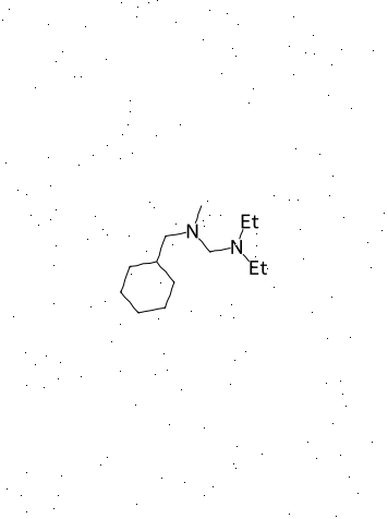 CCN(CC)CN(C)CC1CCCCC1